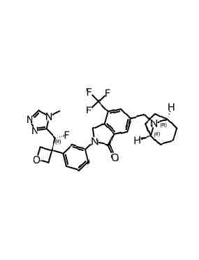 Cn1cnnc1[C@H](F)C1(c2cccc(N3Cc4c(cc(CN5[C@@H]6CCC[C@@H]5CC6)cc4C(F)(F)F)C3=O)c2)COC1